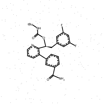 CC(C)(C)NC(=O)O[C@@H](Cc1cc(F)cc(F)c1)c1ncccc1-c1cccc(C(N)=O)c1